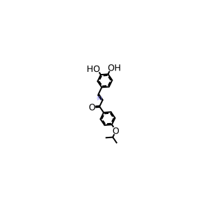 CC(C)Oc1ccc(C(=O)/C=C/c2ccc(O)c(O)c2)cc1